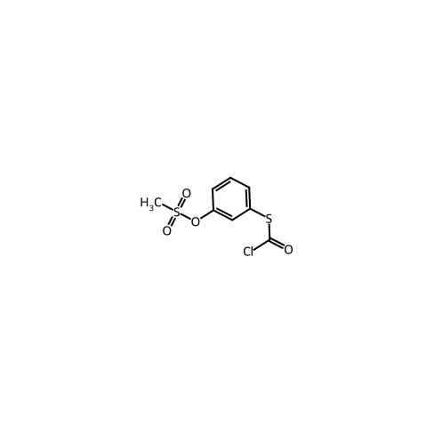 CS(=O)(=O)Oc1cccc(SC(=O)Cl)c1